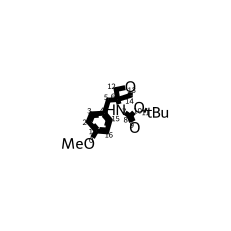 COc1ccc(CC2(NC(=O)OC(C)(C)C)COC2)cc1